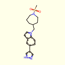 CS(=O)(=O)N1CCCC(Cn2ccc3cc(-c4cn[nH]c4)ccc32)CC1